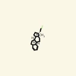 C[C@]12CC[C@H]3[C@@H](CCC4C=CC=C[C@@H]43)[C@@H]1CC[C@@H]2CCF